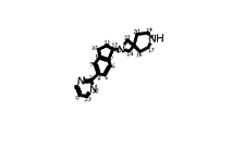 c1cnc(-c2ccc3c(c2)CCC3N2CC3(CCNCC3)C2)nc1